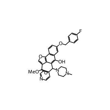 COC(=O)c1coc2c1c(C(c1ccncc1)N1CCN(C)CC1)c(O)c1cc(OCc3ccc(F)cc3)ccc12